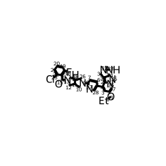 CCOc1cc(-c2ccc(N3CC4CN(C(=O)c5c(F)cccc5Cl)C[C@H]4C3)nc2)c2c3cn[nH]c3nn2c1